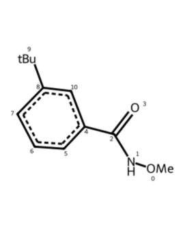 CONC(=O)c1cccc(C(C)(C)C)c1